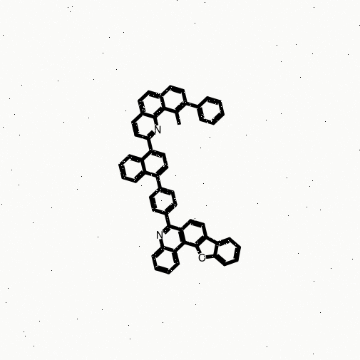 Cc1c(-c2ccccc2)ccc2ccc3ccc(-c4ccc(-c5ccc(-c6nc7ccccc7c7c6ccc6c8ccccc8oc67)cc5)c5ccccc45)nc3c12